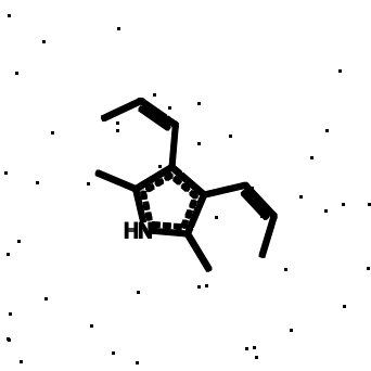 C/C=C\c1c(C)[nH]c(C)c1/C=C\C